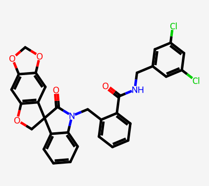 O=C(NCc1cc(Cl)cc(Cl)c1)c1ccccc1CN1C(=O)C2(COc3cc4c(cc32)OCO4)c2ccccc21